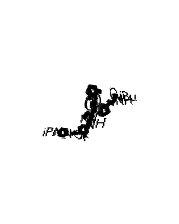 CCC(C)NC(=O)CCc1cccc(N(C(=O)Oc2c(C)cccc2C)c2ccnc(Nc3ccc(OCCN4CCN(C(C)C)CC4)c(F)c3)n2)c1